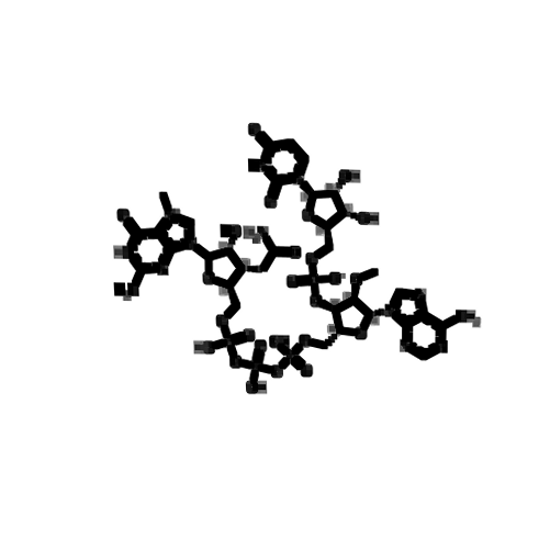 CO[C@@H]1[C@H](OP(=O)([O-])OC[C@H]2O[C@@H](n3ccc(=O)[nH]c3=O)[C@H](O)[C@@H]2O)[C@@H](COP(=O)(O)OP(=O)(O)OP(=O)(O)OC[C@H]2OC(n3c[n+](C)c4c(=O)[nH]c(N)nc43)[C@H](O)[C@@H]2CC(N)=O)O[C@H]1n1cnc2c(N)ncnc21